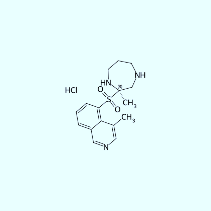 Cc1cncc2cccc(S(=O)(=O)[C@]3(C)CNCCCN3)c12.Cl